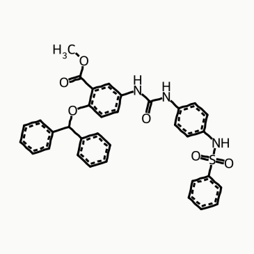 COC(=O)c1cc(NC(=O)Nc2ccc(NS(=O)(=O)c3ccccc3)cc2)ccc1OC(c1ccccc1)c1ccccc1